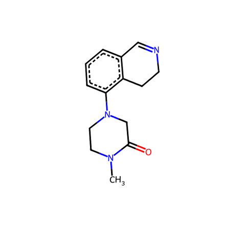 CN1CCN(c2cccc3c2CCN=C3)CC1=O